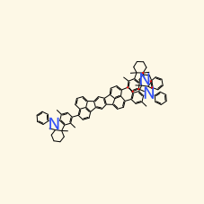 Cc1cc(-c2ccc3c4cc5c(cc4c4cccc2c43)c2ccc(-c3cc(C)c4c(c3C)C3(C)CCCCC3(C)N4c3ccccc3)c3c(-c4cc(C)c6c(c4C)C4(C)CCCCC4(C)N6c4ccccc4)ccc5c32)c(C)c2c1N(c1ccccc1)C1(C)CCCCC21C